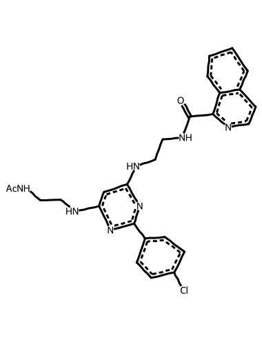 CC(=O)NCCNc1cc(NCCNC(=O)c2nccc3ccccc23)nc(-c2ccc(Cl)cc2)n1